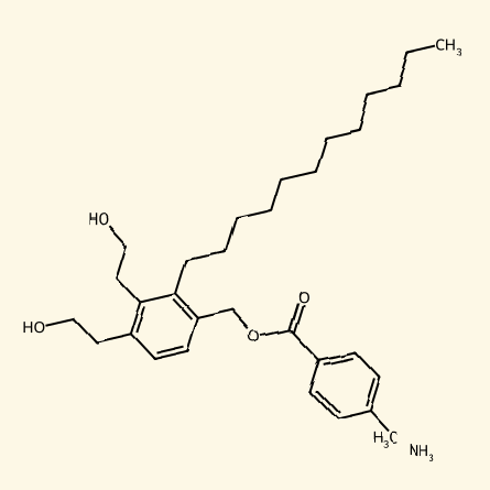 CCCCCCCCCCCCc1c(COC(=O)c2ccc(C)cc2)ccc(CCO)c1CCO.N